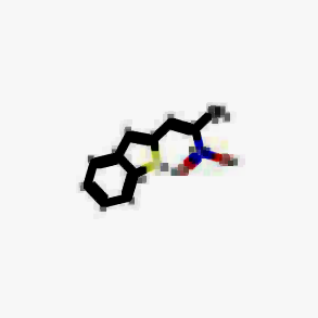 CC(=Cc1cc2ccccc2s1)[N+](=O)[O-]